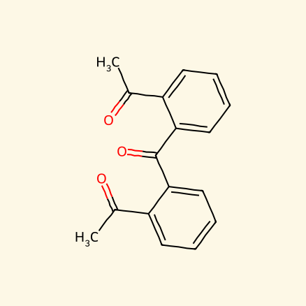 CC(=O)c1ccccc1C(=O)c1ccccc1C(C)=O